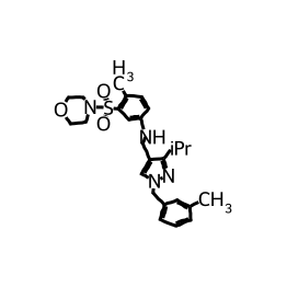 Cc1cccc(Cn2cc(CNc3ccc(C)c(S(=O)(=O)N4CCOCC4)c3)c(C(C)C)n2)c1